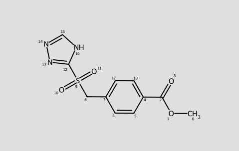 COC(=O)c1ccc(CS(=O)(=O)c2nnc[nH]2)cc1